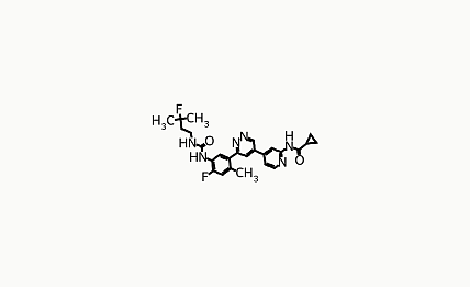 Cc1cc(F)c(NC(=O)NCCC(C)(C)F)cc1-c1cc(-c2ccnc(NC(=O)C3CC3)c2)cnn1